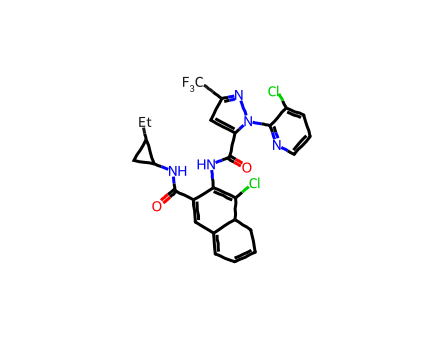 CCC1CC1NC(=O)C1=CC2=CC=CCC2C(Cl)=C1NC(=O)c1cc(C(F)(F)F)nn1-c1ncccc1Cl